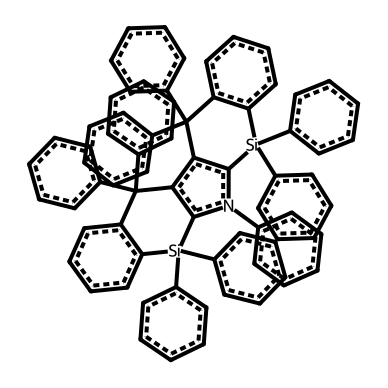 c1ccc(-n2c3c(c4c2[Si](c2ccccc2)(c2ccccc2)c2ccccc2C4(c2ccccc2)c2ccccc2)C(c2ccccc2)(c2ccccc2)c2ccccc2[Si]3(c2ccccc2)c2ccccc2)cc1